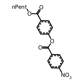 CCCCCOC(=O)c1ccc(OC(=O)c2ccc([N+](=O)[O-])cc2)cc1